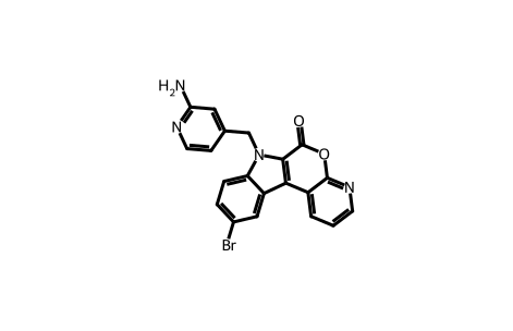 Nc1cc(Cn2c3ccc(Br)cc3c3c4cccnc4oc(=O)c32)ccn1